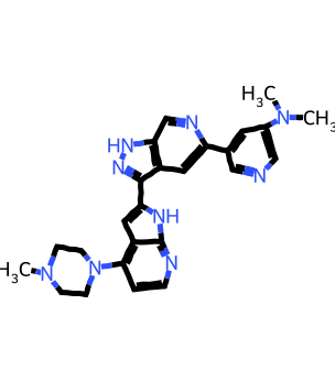 CN1CCN(c2ccnc3[nH]c(-c4n[nH]c5cnc(-c6cncc(N(C)C)c6)cc45)cc23)CC1